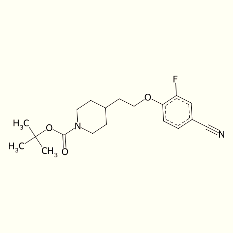 CC(C)(C)OC(=O)N1CCC(CCOc2ccc(C#N)cc2F)CC1